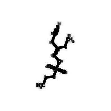 CCCS(=O)(=O)O/N=C(\CC)CC#N